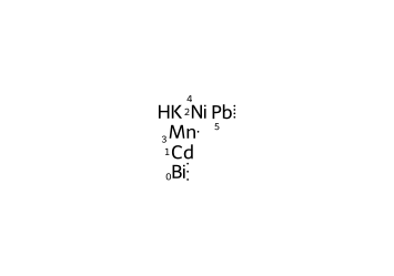 [Bi].[Cd].[KH].[Mn].[Ni].[Pb]